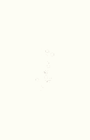 NC(c1ccccc1-c1ccc(Cl)cc1)C1CCN(c2ccc(C(=O)NS(=O)(=O)c3ccc(N[C@H](CCN4CCOCC4)CSc4ccccc4)c(S(=O)(=O)C(F)(F)F)c3)cc2)CC1